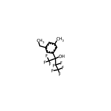 CCc1[c]c(C)cc(C(O)(C(F)(F)F)C(F)(F)C(F)(F)F)c1